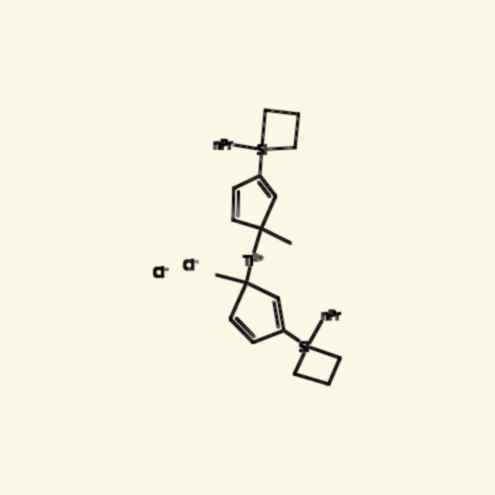 CCC[Si]1(C2=C[C](C)([Ti+2][C]3(C)C=CC([Si]4(CCC)CCC4)=C3)C=C2)CCC1.[Cl-].[Cl-]